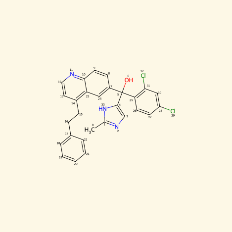 Cc1ncc(C(O)(c2ccc3nccc(CCc4ccccc4)c3c2)c2ccc(Cl)cc2Cl)[nH]1